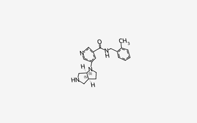 Cc1ccccc1CNC(=O)c1cncc(N2CC[C@H]3CNC[C@H]32)c1